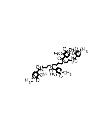 Cn1ccc(C(=O)NCCCN(CCCCN(CCCNC(=O)c2ccn(C)c(=O)c2O)C(=O)c2ccn(C)c(=O)c2O)C(=O)c2ccn(C)c(=O)c2O)c(O)c1=O